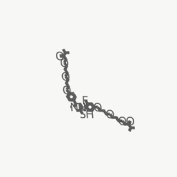 CN[C@H](CN(c1ccc(OCCCOCCCOCC(=O)C(C)C)cc1F)C(C)S)c1ccc(OCCCOCCCOCC(=O)C(C)C)cc1